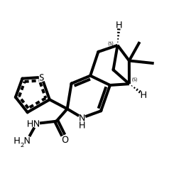 CC1(C)[C@@H]2CC3=CC(C(=O)NN)(c4cccs4)NC=C3[C@H]1C2